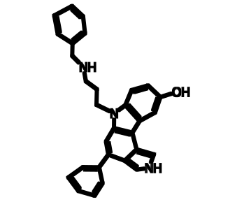 Oc1ccc2c(c1)c1c3c[nH]cc3c(-c3ccccc3)cc1n2CCCNCc1ccccc1